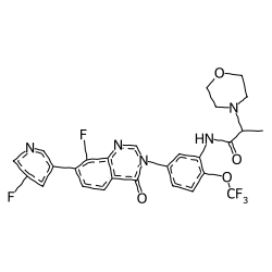 CC(C(=O)Nc1cc(-n2cnc3c(F)c(-c4cncc(F)c4)ccc3c2=O)ccc1OC(F)(F)F)N1CCOCC1